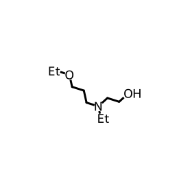 CCOCCCN(CC)CCO